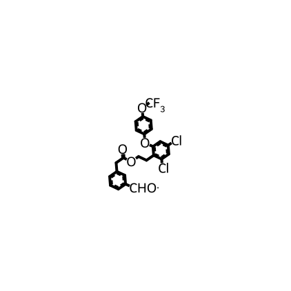 O=[C]c1cccc(CC(=O)OCCc2c(Cl)cc(Cl)cc2Oc2ccc(OC(F)(F)F)cc2)c1